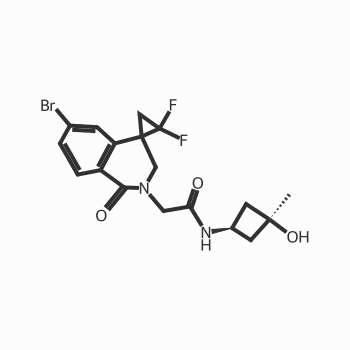 C[C@]1(O)C[C@@H](NC(=O)CN2CC3(CC3(F)F)c3cc(Br)ccc3C2=O)C1